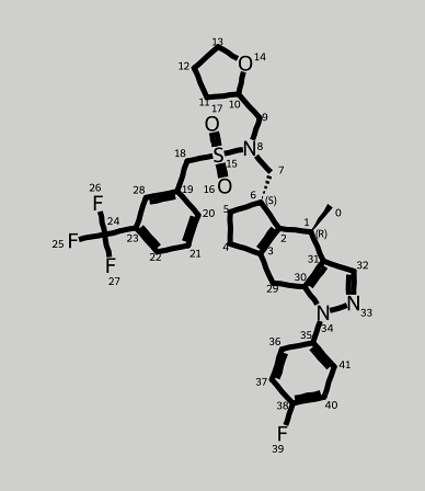 C[C@@H]1C2=C(CC[C@@H]2CN(CC2CCCO2)S(=O)(=O)Cc2cccc(C(F)(F)F)c2)Cc2c1cnn2-c1ccc(F)cc1